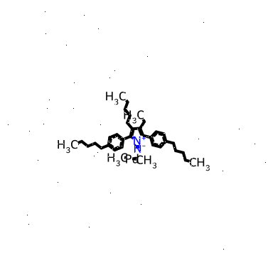 CCCCCC1=C(c2ccc(CCCCC)cc2)[N+](=[N-])C(c2ccc(CCCCC)cc2)=C1CC.[CH3][Pd][CH3]